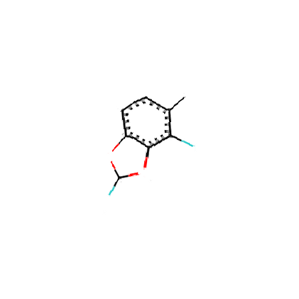 [2H]c1ccc2c(c1F)OC(F)O2